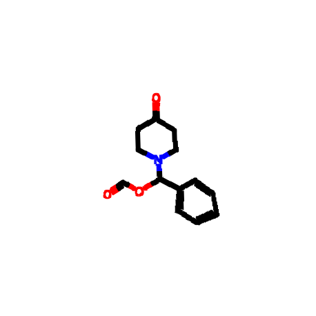 O=COC(c1ccccc1)N1CCC(=O)CC1